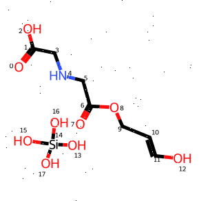 O=C(O)CNCC(=O)OCC=CO.O[Si](O)(O)O